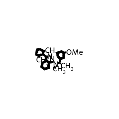 COc1cccc([C@@H](C)N(C)c2nnc(-c3c(C)cccc3C)c3ccccc23)c1